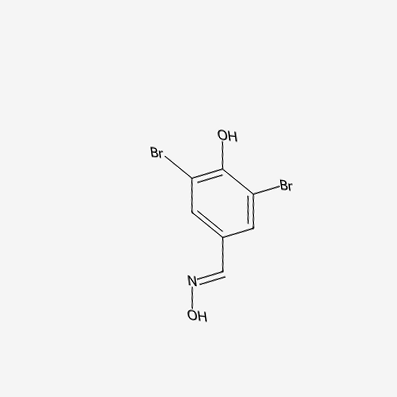 O/N=C/c1cc(Br)c(O)c(Br)c1